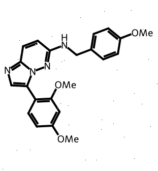 COc1ccc(CNc2ccc3ncc(-c4ccc(OC)cc4OC)n3n2)cc1